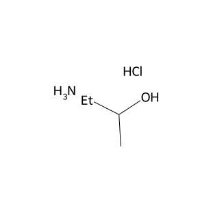 Cl.N.[CH2]CC(C)O